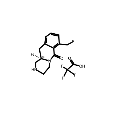 O=C(O)C(F)(F)F.O=C1c2c(CF)cccc2C[C@@H]2CNCCN12